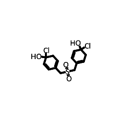 O=S(=O)(CC1=CCC(O)(Cl)C=C1)CC1=CCC(O)(Cl)C=C1